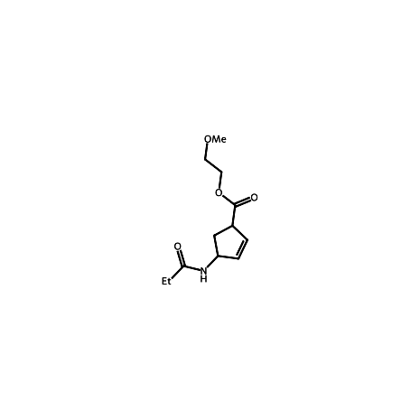 CCC(=O)NC1C=CC(C(=O)OCCOC)C1